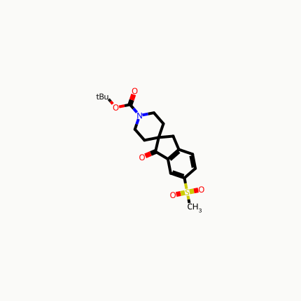 CC(C)(C)OC(=O)N1CCC2(CC1)Cc1ccc(S(C)(=O)=O)cc1C2=O